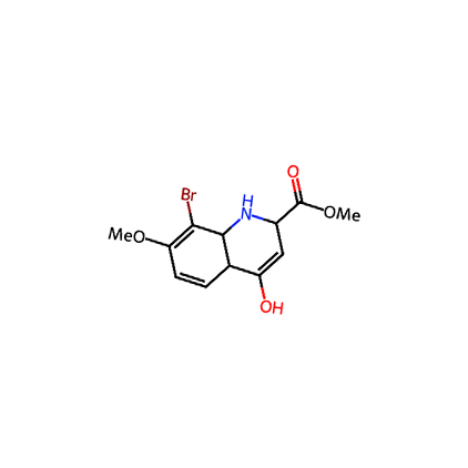 COC(=O)C1C=C(O)C2C=CC(OC)=C(Br)C2N1